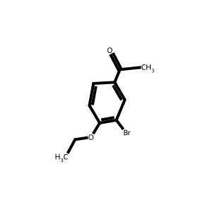 CCOc1ccc(C(C)=O)cc1Br